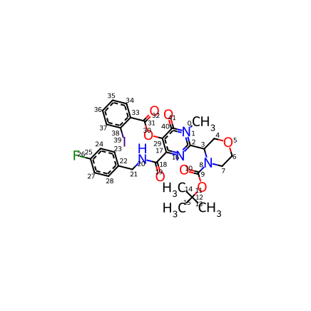 Cn1c(C2COCCN2C(=O)OC(C)(C)C)nc(C(=O)NCc2ccc(F)cc2)c(OC(=O)c2ccccc2I)c1=O